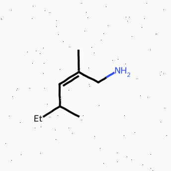 CCC(C)/C=C(/C)CN